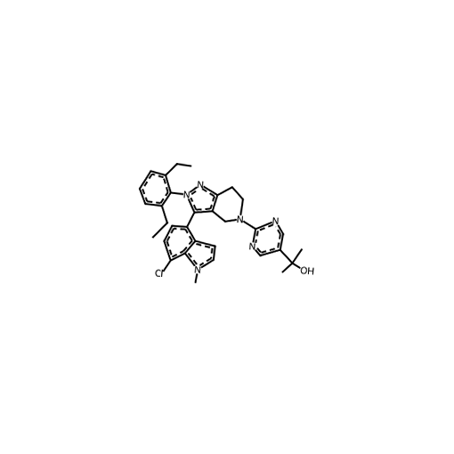 CCc1cccc(CC)c1-n1nc2c(c1-c1ccc(Cl)c3c1ccn3C)CN(c1ncc(C(C)(C)O)cn1)CC2